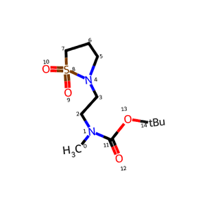 CN(CCN1CCCS1(=O)=O)C(=O)OC(C)(C)C